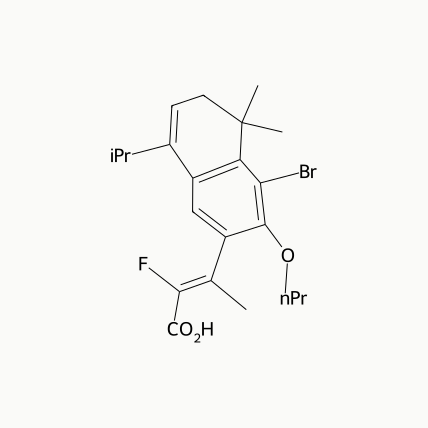 CCCOc1c(C(C)=C(F)C(=O)O)cc2c(c1Br)C(C)(C)CC=C2C(C)C